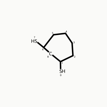 SC1CCCCC(S)C1